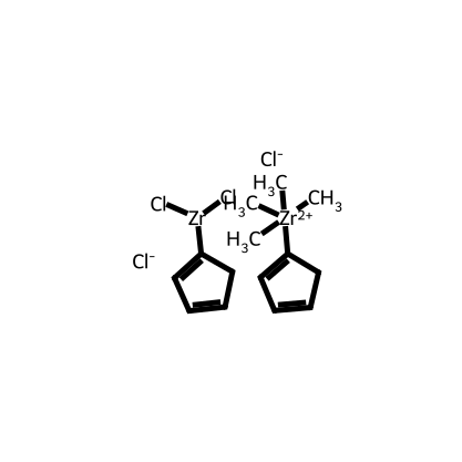 [CH3][Zr+2]([CH3])([CH3])([CH3])[C]1=CC=CC1.[Cl-].[Cl-].[Cl][Zr]([Cl])[C]1=CC=CC1